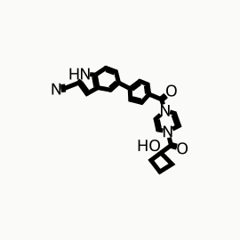 N#Cc1cc2cc(-c3ccc(C(=O)N4C=CN(C(=O)C5(O)CCC5)C=C4)cc3)ccc2[nH]1